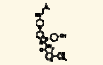 CN(C)CCNC1CCN(c2ccc3nc(NC(=O)c4ccnc(-c5cnn(C)c5)c4F)n([C@H]4CC[C@@H](O)CC4)c3c2)CC1